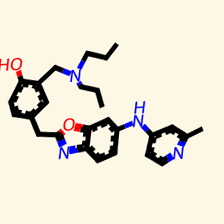 CCCN(CCC)Cc1cc(Cc2nc3ccc(Nc4ccnc(C)c4)cc3o2)ccc1O